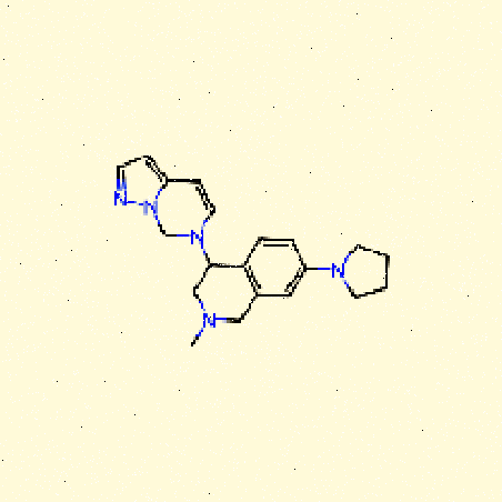 CN1Cc2cc(N3CCCC3)ccc2C(N2C=Cc3ccnn3C2)C1